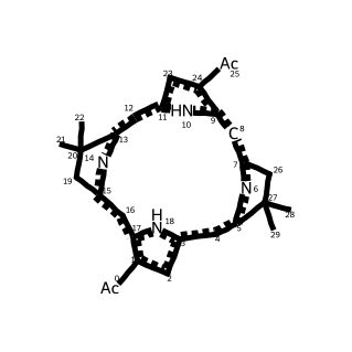 CC(=O)c1cc2cc3nc(cc4[nH]c(cc5nc(cc1[nH]2)CC5(C)C)cc4C(C)=O)CC3(C)C